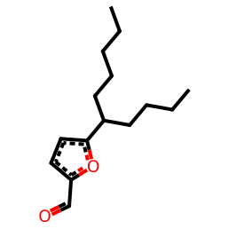 CCCCCC(CCCC)c1ccc(C=O)o1